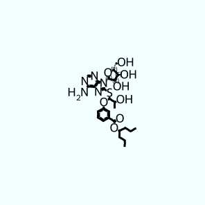 CCCC(CCC)OC(=O)c1cccc(OC(Sc2nc3c(N)ncnc3n2[C@@H]2O[C@H](CO)[C@@H](O)[C@H]2O)C(C)O)c1